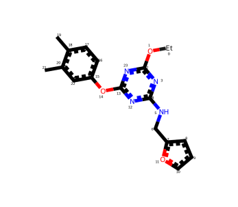 CCOc1nc(NCc2ccco2)nc(Oc2ccc(C)c(C)c2)n1